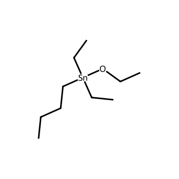 CCC[CH2][Sn]([CH2]C)([CH2]C)[O]CC